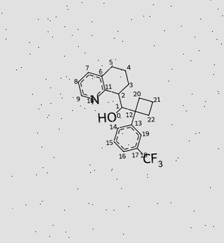 OC(C1CCCc2cccnc21)C1(c2cccc(C(F)(F)F)c2)CCC1